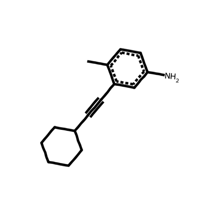 Cc1ccc(N)cc1C#CC1CCCCC1